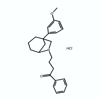 COc1cccc(C23CCCC(C2)N(CCCC(=O)c2ccccc2)C3)c1.Cl